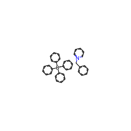 c1ccc(C[n+]2ccccc2)cc1.c1ccc([B-](c2ccccc2)(c2ccccc2)c2ccccc2)cc1